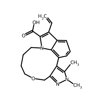 C=Cc1c(C(=O)O)n2c3c(cccc13)-c1c(nn(C)c1C)COCCCC2